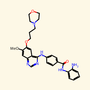 COc1cc2ncnc(Nc3ccc(C(=O)Nc4ccccc4N)cc3)c2cc1OCCCN1CCOCC1